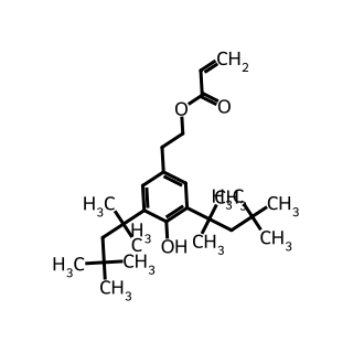 C=CC(=O)OCCc1cc(C(C)(C)CC(C)(C)C)c(O)c(C(C)(C)CC(C)(C)C)c1